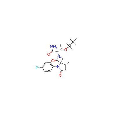 CC(O[Si](C)(C)C(C)(C)C)C(C(N)=O)N1CC2(C1=O)C(C)CC(=O)N2c1ccc(F)cc1